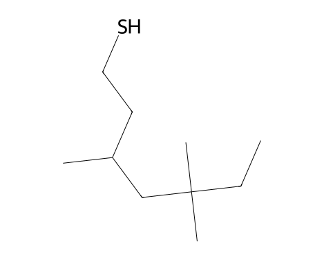 CCC(C)(C)CC(C)CCS